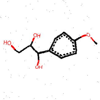 COc1ccc(C(O)C(O)CO)cc1